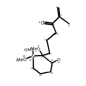 C=C(C)C(=O)CCCC1(OC)C(Cl)CCC[Si]1(OC)OC